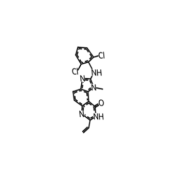 C=Cc1nc2ccc3nc(Nc4c(Cl)cccc4Cl)n(C)c3c2c(=O)[nH]1